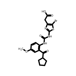 COc1ccc(NC(=O)Nc2nc(CC(=O)O)c(Br)s2)c(C(=O)C2CCCC2)c1